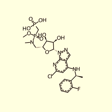 COP(=O)(CP(=O)(O)O)N(C)C[C@H]1O[C@@H](n2ncc3c(N[C@@H](C)c4ccccc4F)cc(Cl)nc32)[C@H](O)[C@@H]1O